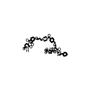 CS(=O)(=O)n1ccc(C(=O)N[C@@H](COCc2ccc(C(=O)N3CCN(CCCOc4ccc5c(c4)C(=O)N(C4CCC(=O)NC4=O)C5=O)CC3)cc2)C(=O)Nc2nc(-c3ccccc3)cs2)c1